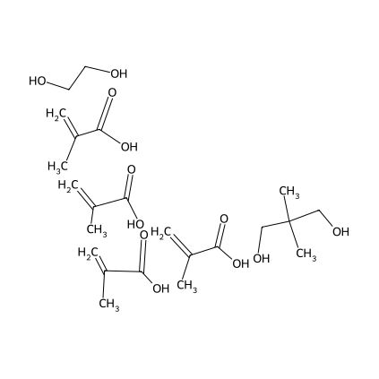 C=C(C)C(=O)O.C=C(C)C(=O)O.C=C(C)C(=O)O.C=C(C)C(=O)O.CC(C)(CO)CO.OCCO